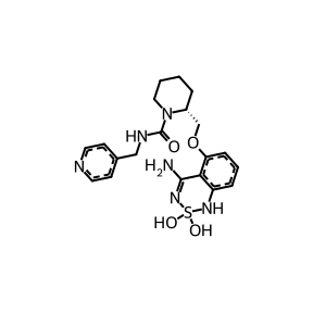 NC1=NS(O)(O)Nc2cccc(OC[C@H]3CCCCN3C(=O)NCc3ccncc3)c21